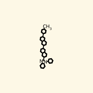 Cc1ccc(-c2ccc3cc(-c4ccc5cc(-c6nc7ccccc7n6-c6ccccc6)ccc5c4)ccc3c2)cc1